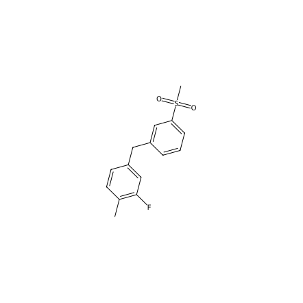 Cc1ccc(Cc2cccc(S(C)(=O)=O)c2)cc1F